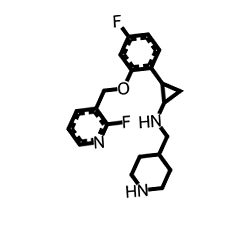 Fc1ccc(C2CC2NCC2CCNCC2)c(OCc2cccnc2F)c1